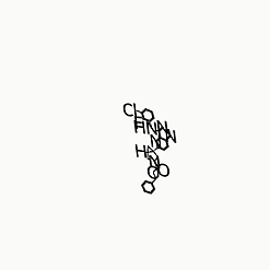 O=C(OCc1ccccc1)N1C[C@@H]2C[C@]2(c2ccc3ncnc(Nc4cccc(Cl)c4F)c3n2)C1